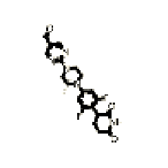 C[C@@H]1CN(c2ncc(C=O)cn2)CCN1c1cc(F)c(C2CCC(=O)NC2=O)c(F)c1